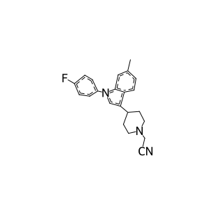 Cc1ccc2c(C3CCN(CC#N)CC3)cn(-c3ccc(F)cc3)c2c1